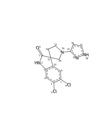 O=C1Nc2cc(Cl)c(Cl)cc2C12CCN(c1cc[nH]n1)C2